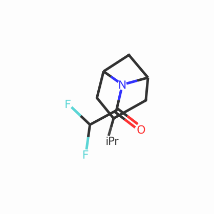 CC(C)C1CC2CC(C1)N2C(=O)C(F)F